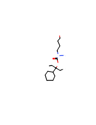 CCC(CC)(OC(=O)N(N)CCCCO)C1CCCCC1